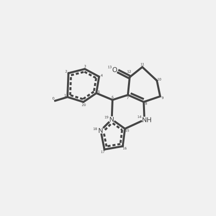 Cc1cccc(C2C3=C(CCCC3=O)Nc3ccnn32)c1